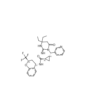 CCC1(CC)CC(=O)N(C(c2cccnc2)[C@@H]2C[C@H]2C(=O)N[C@H]2C[C@H](C(F)(F)F)Oc3ccccc32)C(=N)N1